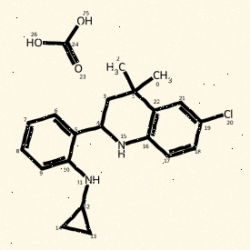 CC1(C)CC(c2ccccc2NC2CC2)Nc2ccc(Cl)cc21.O=C(O)O